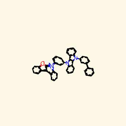 c1ccc(-c2cccc(-n3c4ccccc4c4c3c3ccccc3n4-c3cccc(-n4c5ccccc5c5c6ccccc6oc54)c3)c2)cc1